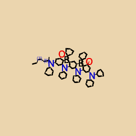 C=C/C=C\C=C(/C)N(c1ccccc1)c1cc2c3c(c1)N(c1ccccc1)c1cc4c(cc1B3c1ccccc1O2)B1c2ccccc2Oc2cc(N(c3ccccc3)c3ccccc3)cc(c21)N4c1ccccc1